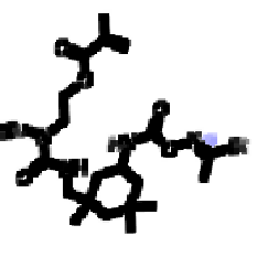 C=C(C)C(=O)OCCN(C(=O)NCC1(C)CC(NC(=O)O/N=C(\C)CC)CC(C)(C)C1)C(C)(C)C